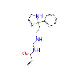 C=CC(=O)NCNCCC1(c2ccccc2)N=CCN1